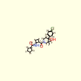 CC1(C)CN(C(=O)C2CCC2NC(=O)C2CCCC2)CCC1(O)c1ccc(Cl)cc1